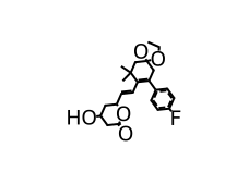 CC1(C)CC2(CC(c3ccc(F)cc3)=C1C=CC1CC(O)CC(=O)O1)OCCO2